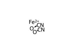 N#C[O-].N#C[O-].[Fe+2]